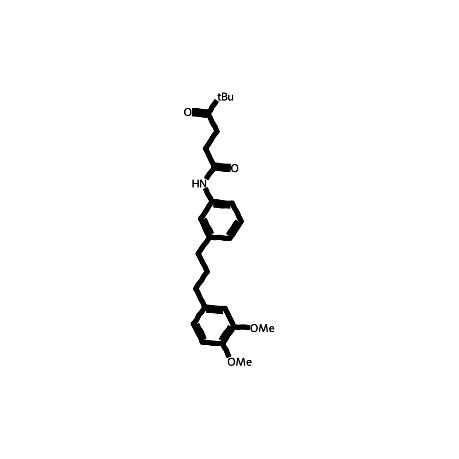 COc1ccc(CCCc2cccc(NC(=O)CCC(=O)C(C)(C)C)c2)cc1OC